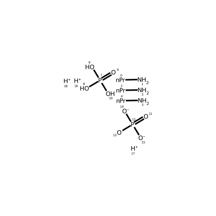 CCCN.CCCN.CCCN.O=P(O)(O)O.O=P([O-])([O-])[O-].[H+].[H+].[H+]